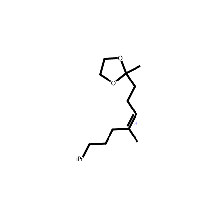 C/C(=C/CCC1(C)OCCO1)CCCC(C)C